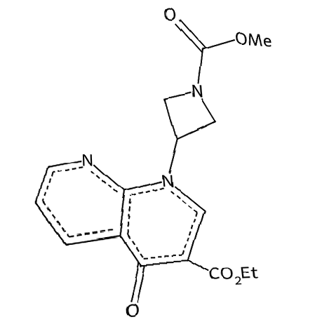 CCOC(=O)c1cn(C2CN(C(=O)OC)C2)c2ncccc2c1=O